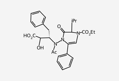 CCOC(=O)N1C=C(c2ccccc2)N(N(C(C)=O)[C@@H](Cc2ccccc2)C(O)C(=O)O)C(=O)C1C(C)C